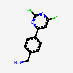 NCc1ccc(-c2cc(Cl)nc(Cl)n2)cc1